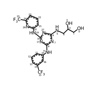 OCC(O)CNc1nc(Nc2cccc(C(F)(F)F)c2)nc(Nc2cccc(C(F)(F)F)n2)n1